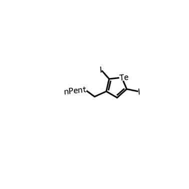 CCCCCCc1cc(I)[te]c1I